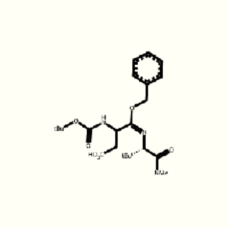 CNC(=O)[C@@H](N=C(OCc1ccccc1)C(CC(=O)O)NC(=O)OC(C)(C)C)C(C)(C)C